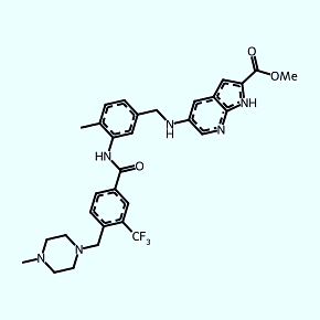 COC(=O)c1cc2cc(NCc3ccc(C)c(NC(=O)c4ccc(CN5CCN(C)CC5)c(C(F)(F)F)c4)c3)cnc2[nH]1